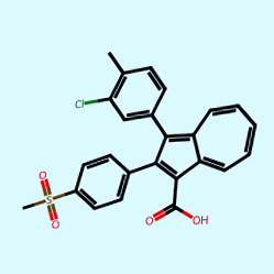 Cc1ccc(-c2c3cccccc-3c(C(=O)O)c2-c2ccc(S(C)(=O)=O)cc2)cc1Cl